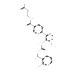 C=C(C)CCNC(=O)c1ccc(-c2nnn(C)c2NC(=O)O[C@H](C)c2cccnc2Cl)nc1